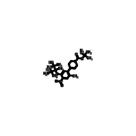 BC(B)(B)C(B)(Oc1cc(C2=CCN(C(=O)OC(C)(C)C)CC2)c(C)cc1[N+](=O)[O-])C(B)(B)O